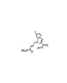 COC(=O)/C=C/COc1cc(F)ccc1/C=C(\C)C(=O)OC